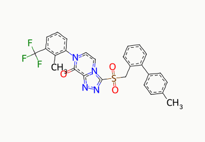 Cc1ccc(-c2ccccc2CS(=O)(=O)c2nnc3c(=O)n(-c4cccc(C(F)(F)F)c4C)ccn23)cc1